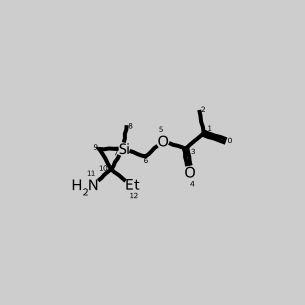 C=C(C)C(=O)OC[Si]1(C)CC1(N)CC